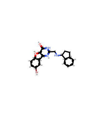 O=c1[nH]c(CNC2CCc3ccccc32)nc2c1oc1ccc(Br)cc12